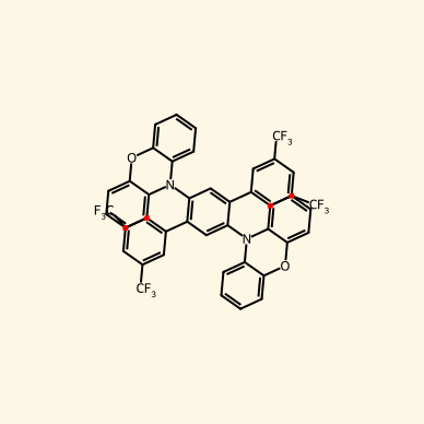 FC(F)(F)c1cc(-c2cc(N3c4ccccc4Oc4ccccc43)c(-c3cc(C(F)(F)F)cc(C(F)(F)F)c3)cc2N2c3ccccc3Oc3ccccc32)cc(C(F)(F)F)c1